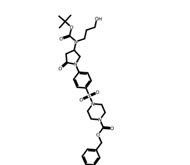 CC(C)(C)OC(=O)N(CCCO)C1CC(=O)N(c2ccc(S(=O)(=O)N3CCN(C(=O)OCc4ccccc4)CC3)cc2)C1